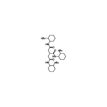 CCCCC1CCCCC1NC(=O)CC(CC(=O)NC1CCCCC1CCCC)C(=O)NC1CCCCC1CCCC